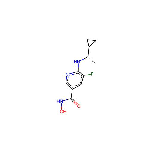 C[C@H](Nc1ncc(C(=O)NO)cc1F)C1CC1